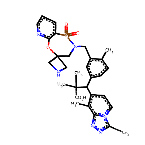 Cc1ccc(C(c2ccn3c(C(F)(F)F)nnc3c2C)C(C)(C)C(=O)O)cc1CN1CC2(CNC2)Oc2ncccc2S1(=O)=O